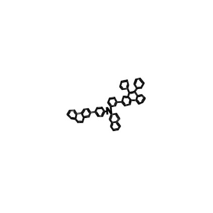 c1ccc(-c2c(-c3ccccc3)c3cc(-c4cccc(N(c5ccc(-c6ccc7c(ccc8ccccc87)c6)cc5)c5ccc6ccccc6c5)c4)ccc3c3ccccc23)cc1